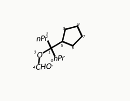 CCCC(CCC)(O[C]=O)C1CCCC1